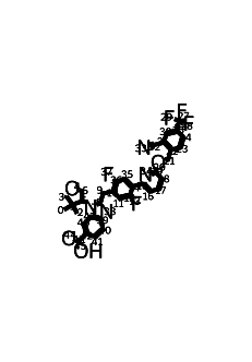 CC1(C)COC[C@H]1n1c(Cc2cc(F)c(-c3cccc(OCc4ccc(C(F)(F)F)cc4C#N)n3)cc2F)nc2ccc(C(=O)O)cc21